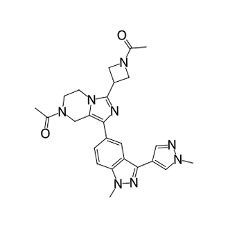 CC(=O)N1CCn2c(C3CN(C(C)=O)C3)nc(-c3ccc4c(c3)c(-c3cnn(C)c3)nn4C)c2C1